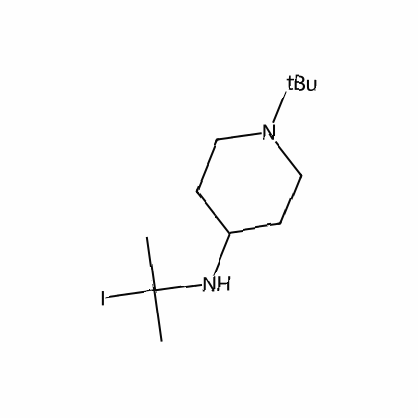 CC(C)(I)NC1CCN(C(C)(C)C)CC1